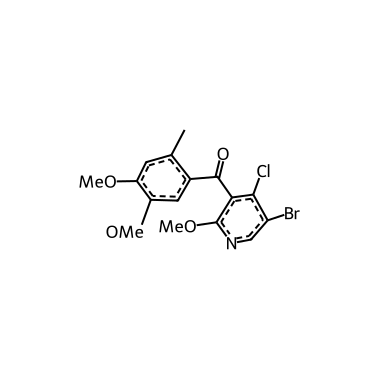 COc1cc(C)c(C(=O)c2c(OC)ncc(Br)c2Cl)cc1OC